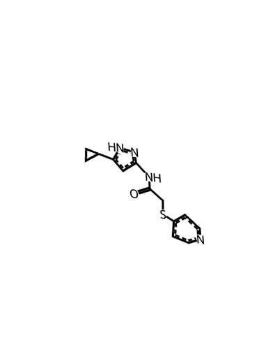 O=C(CSc1ccncc1)Nc1cc(C2CC2)[nH]n1